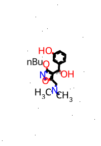 CCCCOc1noc(CN(C)C)c1[C@H](O)c1cccc(O)c1